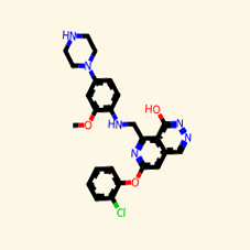 COc1cc(N2CCNCC2)ccc1NCc1nc(Oc2ccccc2Cl)cc2cnnc(O)c12